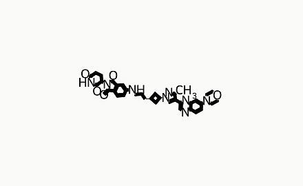 Cc1nn([C@H]2C[C@@H](CCCNc3ccc4c(c3)C(=O)N(C3CCC(=O)NC3=O)C4=O)C2)cc1-c1cnc2ccc(N3CCOCC3)cc2n1